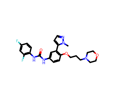 Cn1nccc1-c1cc(NC(=O)Nc2ccc(F)cc2F)ccc1OCCCN1CCOCC1